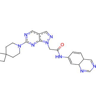 O=C(Cn1ncc2cnc(N3CCC4(CCC4)CC3)nc21)NC1=CC2N=CN=CC2C=C1